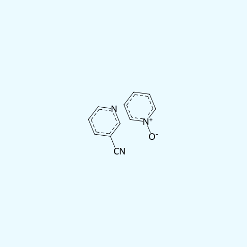 N#Cc1cccnc1.[O-][n+]1ccccc1